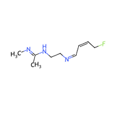 C/N=C(\C)NCC/N=C\C=C/CF